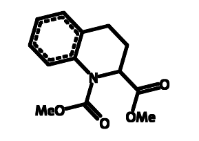 COC(=O)C1CCc2ccccc2N1C(=O)OC